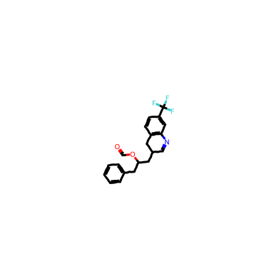 O=COC(Cc1ccccc1)CC1C=Nc2cc(C(F)(F)F)ccc2C1